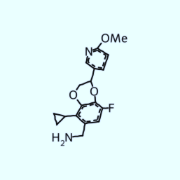 COc1ccc(C2COc3c(c(F)cc(CN)c3C3CC3)O2)cn1